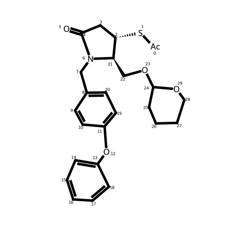 CC(=O)S[C@H]1CC(=O)N(Cc2ccc(Oc3ccccc3)cc2)[C@@H]1COC1CCCCO1